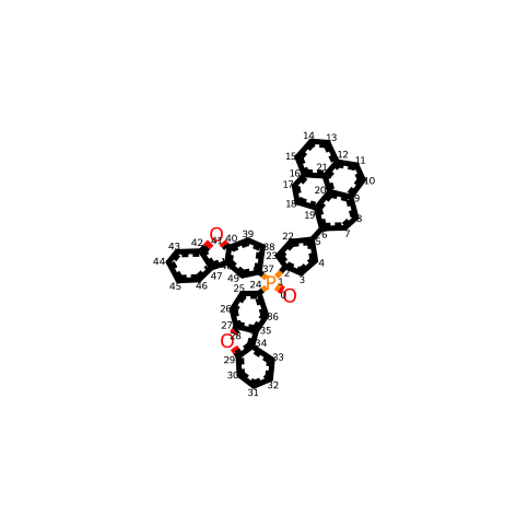 O=P(c1ccc(-c2ccc3ccc4cccc5ccc2c3c45)cc1)(c1ccc2oc3ccccc3c2c1)c1ccc2oc3ccccc3c2c1